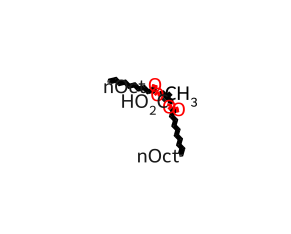 CCCCCCCC/C=C\CCCCCCCC(=O)OCC(C)(COC(=O)CCCCCCC/C=C\CCCCCCCC)C(=O)O